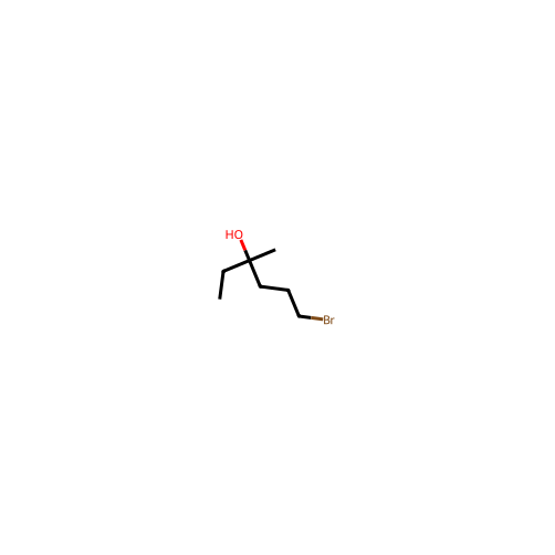 CCC(C)(O)CCCBr